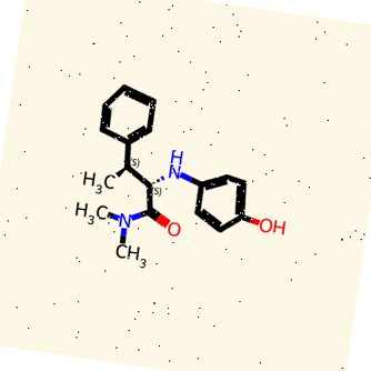 C[C@@H](c1ccccc1)[C@H](Nc1ccc(O)cc1)C(=O)N(C)C